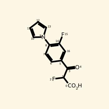 O=C(O)C(F)C(=O)c1ccc(-n2cccc2)c(F)c1